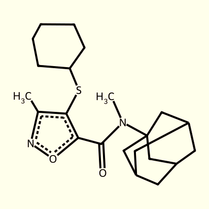 Cc1noc(C(=O)N(C)C23CC4CC(CC(C4)C2)C3)c1SC1CCCCC1